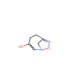 OC1=CN2CC(=NO2)CC1